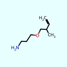 C=CC(C)COCCCN